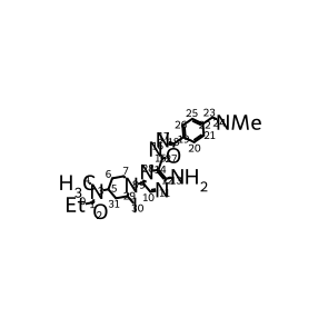 CCC(=O)N(C)C1CCN(c2cnc(N)c(-c3nnc(-c4ccc(CNC)cc4)o3)n2)C(I)C1